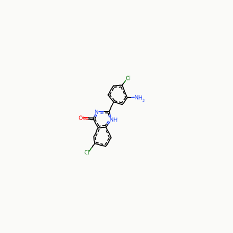 Nc1cc(-c2nc(=O)c3cc(Cl)ccc3[nH]2)ccc1Cl